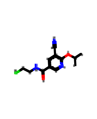 CC(C)Oc1ncc(C(=O)NCCCl)cc1C#N